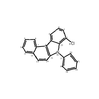 Clc1cccc2c3c4ccccc4ccc3n(-c3ccccc3)c12